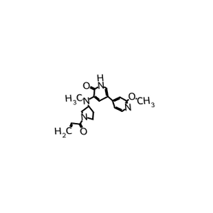 C=CC(=O)N1CC[C@@H](N(C)c2cc(-c3ccnc(OC)c3)c[nH]c2=O)C1